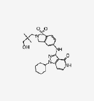 CC(C)(CO)CN1Cc2cc(Nc3nn(C4CCCCC4)c4cc[nH]c(=O)c34)ccc2S1(=O)=O